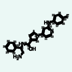 NCC(NC(O)c1ccn(-c2ccnc(Nc3ccc(F)cc3)c2)c1)c1ccccc1